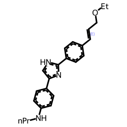 CCCNc1ccc(-c2c[nH]c(-c3ccc(/C=C/COCC)cc3)n2)cc1